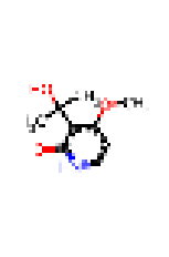 COc1cc[nH]c(=O)c1C(C)(C)O